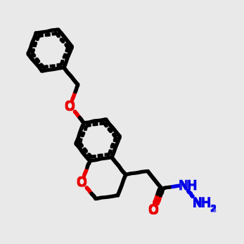 NNC(=O)CC1CCOc2cc(OCc3ccccc3)ccc21